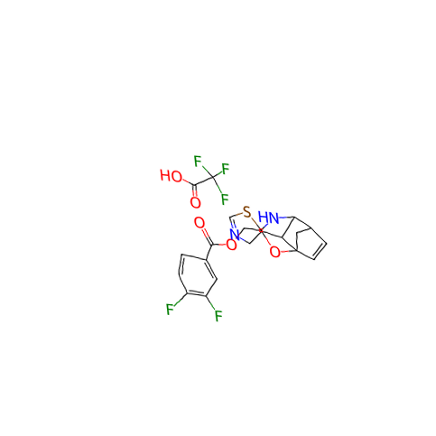 O=C(O)C(F)(F)F.O=C(OCC1NC2C3C=CC(C3)(O1)C2C1CN=CS1)c1ccc(F)c(F)c1